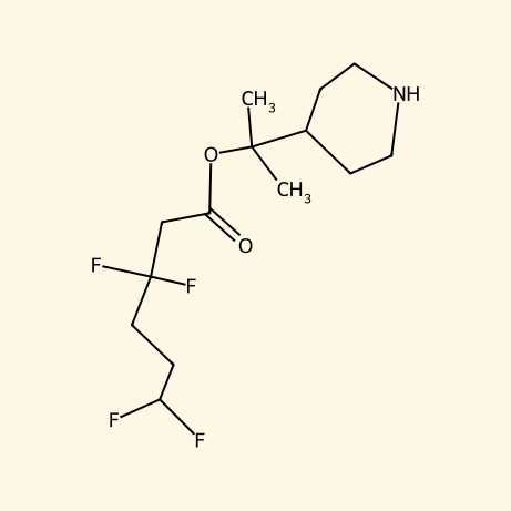 CC(C)(OC(=O)CC(F)(F)CCC(F)F)C1CCNCC1